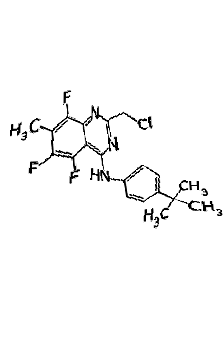 Cc1c(F)c(F)c2c(Nc3ccc(C(C)(C)C)cc3)nc(CCl)nc2c1F